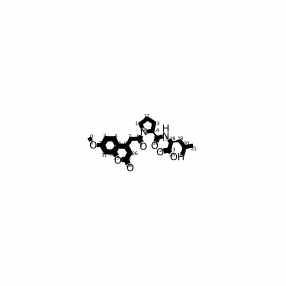 COc1ccc2c(CC(=O)N3CCC[C@H]3C(=O)N[C@@H](CC(C)C)C(=O)O)cc(=O)oc2c1